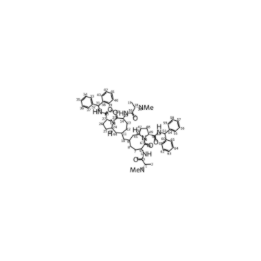 CN[C@@H](C)C(=O)N[C@H]1CCC(CC2CC[C@H](NC(=O)[C@H](C)NC)C(=O)N3[C@H](CC[C@H]3C(=O)NC(c3ccccc3)c3ccccc3)C2)C[C@H]2CC[C@@H](C(=O)NC(c3ccccc3)c3ccccc3)N2C1=O